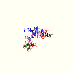 N.N=C(N)N.O=[N+]([O-])O.O=[N+]([O-])[O-].[Na+].[O-][Cl+3]([O-])([O-])O